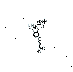 CN(C)C(=O)CCCOc1ccc2c(c1)CN(CC(=O)NC(C)(C)C)C(N)=N2